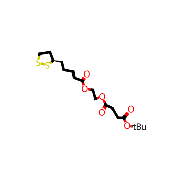 CC(C)(C)OC(=O)CCC(=O)OCCOC(=O)CCCC[C@@H]1CCSS1